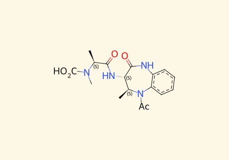 CC(=O)N1c2ccccc2NC(=O)[C@@H](NC(=O)[C@H](C)N(C)C(=O)O)[C@@H]1C